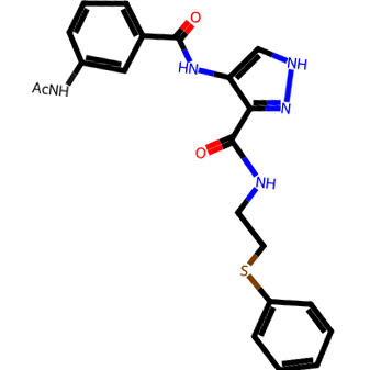 CC(=O)Nc1cccc(C(=O)Nc2c[nH]nc2C(=O)NCCSc2ccccc2)c1